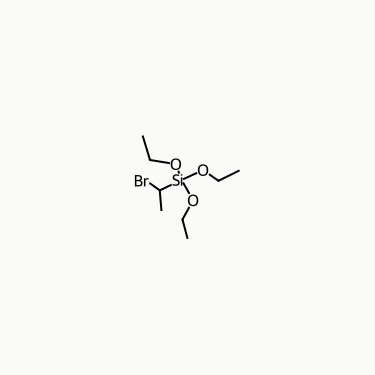 CCO[Si](OCC)(OCC)C(C)Br